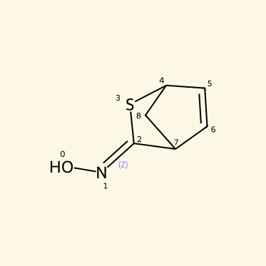 O/N=C1\SC2C=CC1C2